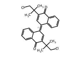 CC(C)(CCl)C1=C/C(=C2/C=C(C(C)(C)CCl)C(=O)c3ccccc32)c2ccccc2C1=O